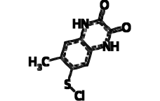 Cc1cc2[nH]c(=O)c(=O)[nH]c2cc1SCl